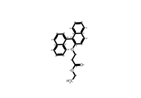 CCOC(=O)CCOc1ccc2ccccc2c1-c1cccc2ccccc12